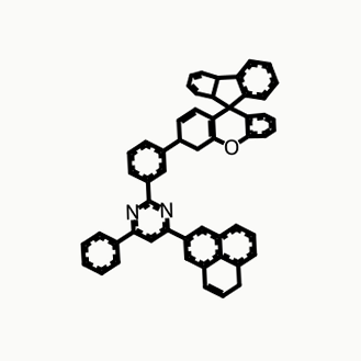 C1=CC2c3ccccc3C3(C4=C(CC(c5cccc(-c6nc(-c7ccccc7)cc(-c7cc8c9c(cccc9c7)CC=C8)n6)c5)C=C4)Oc4ccccc43)C2C=C1